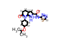 CC(C)Oc1ccc(-n2c(=O)ccc3cc(C(=O)Nc4nncs4)[nH]c32)cc1